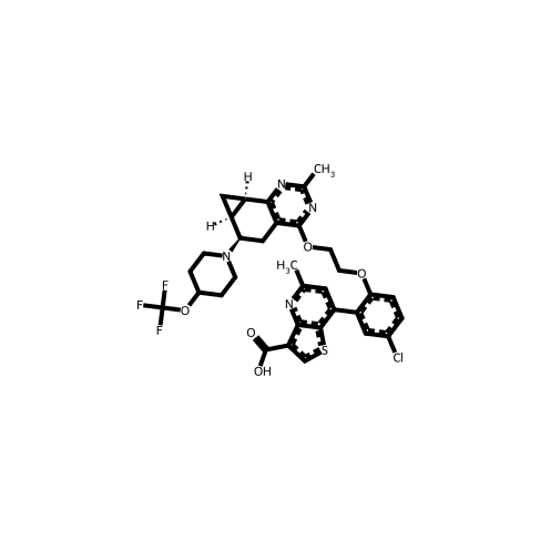 Cc1cc(-c2cc(Cl)ccc2OCCOc2nc(C)nc3c2C[C@@H](N2CCC(OC(F)(F)F)CC2)[C@H]2C[C@@H]32)c2scc(C(=O)O)c2n1